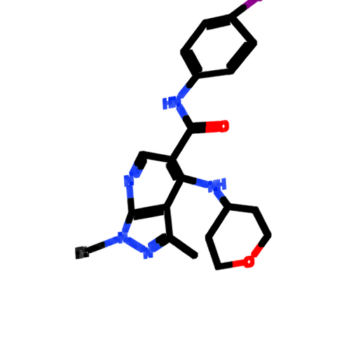 CCn1nc(C)c2c(NC3CCOCC3)c(C(=O)Nc3ccc(I)cc3)cnc21